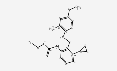 CCc1ccc(OCc2c(NC(=S)OCF)cccc2C2CC2)c(C)c1